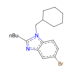 CCCCc1nc2cc(Br)ccc2n1CC1CCCCC1